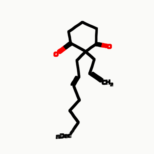 C=CCC1(CC=CCCCCCCCCCCCCC)C(=O)CCCC1=O